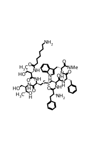 CNC(=O)[C@@H](Cc1c[nH]c2ccccc12)NC(=O)[C@H](Cc1ccccc1)NC(=O)[C@H](CSSC[C@H](NC(=O)[C@@H](NC(=O)CCCCCCN)[C@@H](C)O)C(=O)N[C@H](CO)[C@@H](C)O)NC(=O)[C@H](N)Cc1ccccc1